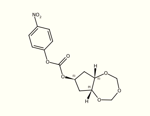 O=C(Oc1ccc([N+](=O)[O-])cc1)O[C@H]1C[C@@H]2OCOCO[C@@H]2C1